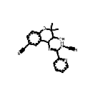 CC1(C)Oc2ccc(C#N)cc2C(N=C(NC#N)c2ccccn2)C1O